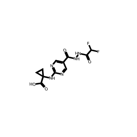 O=C(NNC(=O)C(F)F)c1cnc(NC2(C(=O)O)CC2)nc1